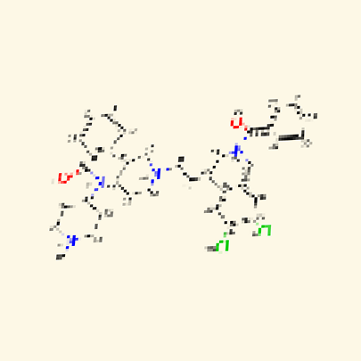 CN1CCC(N(C(=O)c2ccccc2)C2CCN(CCC(CN(C)C(=O)c3ccccc3)c3ccc(Cl)c(Cl)c3)CC2)CC1